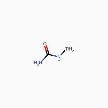 NC(=O)[NH][TlH2]